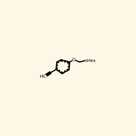 C#Cc1ccc(OCCCCCCC)cc1